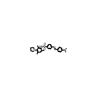 Cc1cc(C)c(N2CCCC2)c(C)c1NS(=O)(=O)c1ccc(N=Nc2ccc(N(C)C)cc2)cc1